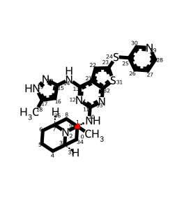 CCN1[C@@H]2CCC[C@H]1C[C@H](Nc1nc(Nc3cc(C)[nH]n3)c3cc(Sc4cccnc4)sc3n1)C2